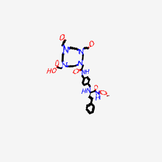 CONC(=O)[C@@H](CCc1ccccc1)NCc1ccc(CNC(=O)CN2CCN(CC=O)CCN(CC=O)CCN(CC(=O)O)CC2)cc1